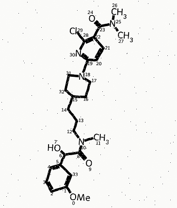 COc1cccc(C(O)C(=O)N(C)CCCC2CCN(c3ccc(C(=O)N(C)C)c(Cl)n3)CC2)c1